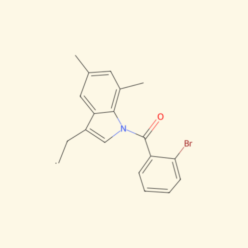 [CH2]Cc1cn(C(=O)c2ccccc2Br)c2c(C)cc(C)cc12